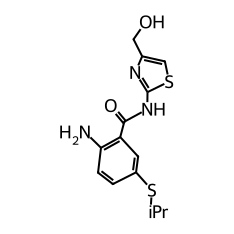 CC(C)Sc1ccc(N)c(C(=O)Nc2nc(CO)cs2)c1